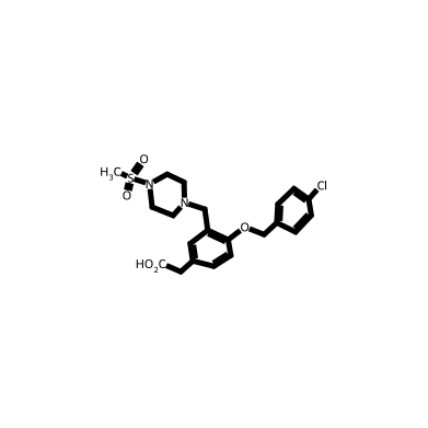 CS(=O)(=O)N1CCN(Cc2cc(CC(=O)O)ccc2OCc2ccc(Cl)cc2)CC1